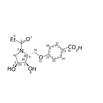 CCC(=O)N1C[C@H](O)[C@H](O)[C@H]1COc1ccc(C(=O)O)cc1